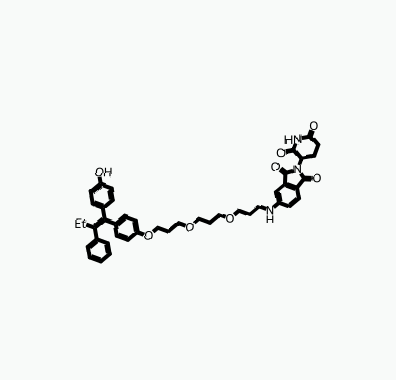 CC/C(=C(\c1ccc(O)cc1)c1ccc(OCCCOCCCOCCCNc2ccc3c(c2)C(=O)N(C2CCC(=O)NC2=O)C3=O)cc1)c1ccccc1